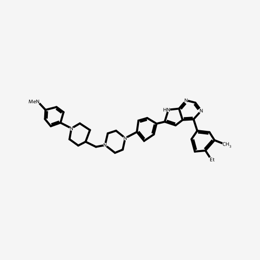 CCc1ccc(-c2ncnc3[nH]c(-c4ccc(N5CCN(CC6CCN(c7ccc(NC)cc7)CC6)CC5)cc4)cc23)cc1C